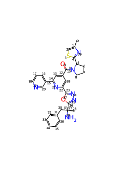 Cc1csc(C2CCCN2C(=O)c2cc(-c3cccnc3)nc(-c3nnc([C@](C)(N)Cc4ccccc4)o3)c2)n1